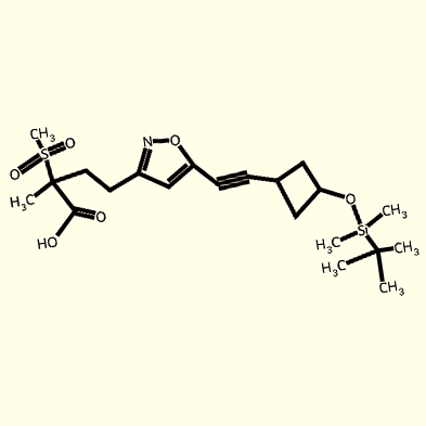 CC(C)(C)[Si](C)(C)OC1CC(C#Cc2cc(CCC(C)(C(=O)O)S(C)(=O)=O)no2)C1